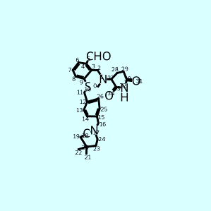 CN(Cc1c(C=O)cccc1SCc1ccc(CN2CCC(C)(C)CC2)cc1)C1CCC(=O)NC1=O